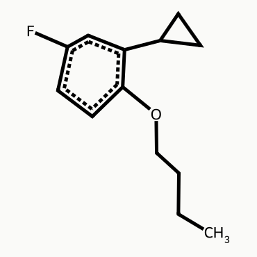 CCCCOc1ccc(F)cc1C1CC1